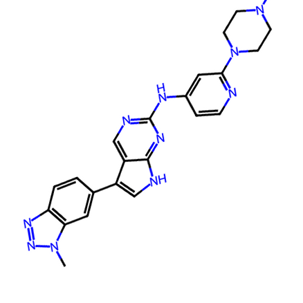 CN1CCN(c2cc(Nc3ncc4c(-c5ccc6nnn(C)c6c5)c[nH]c4n3)ccn2)CC1